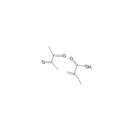 C=C(C)C(=O)O.CC(=O)C(C)=O